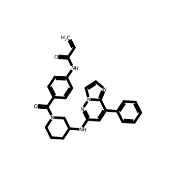 C=CC(=O)Nc1ccc(C(=O)N2CCCC(Nc3cc(-c4ccccc4)c4nccn4n3)C2)cc1